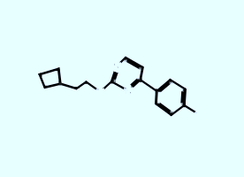 Clc1ccc(-c2ccnc(SC[CH]C3CCC3)n2)cc1